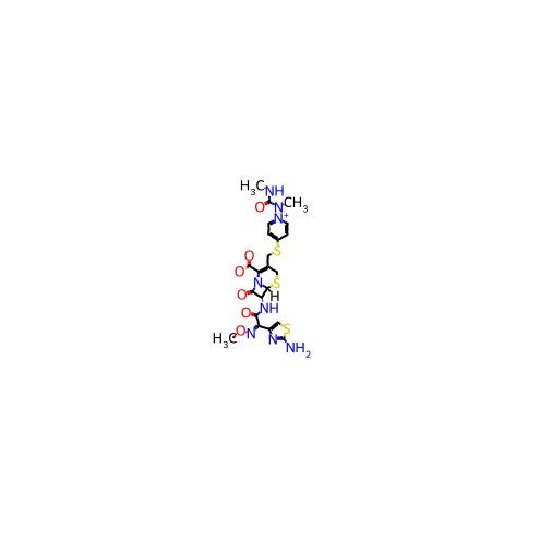 CNC(=O)N(C)[n+]1ccc(SCC2=C(C(=O)[O-])N3C(=O)[C@@H](NC(=O)/C(=N\OC)c4csc(N)n4)[C@H]3SC2)cc1